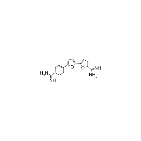 N=C(N)C1=CC=C(c2ccc(-c3ccc(C(=N)N)o3)o2)CC1